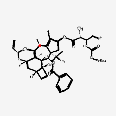 C=C[C@@H]1O[C@H]2C[C@H]3CC[C@@]3(OC(C)=O)[C@H]3[C@H](OC(=O)c4ccccc4)[C@]4(C(C)(C)O)CC(OC(=O)[C@H](O)C(CC(C)C)NC(=O)OC(C)(C)C)C(C)=C4[C@H](C)[C@H](O1)[C@]23C